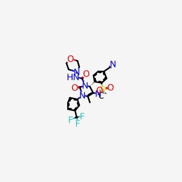 [C-]#[N+]C1=C(C)N(c2cccc(C(F)(F)F)c2)C(=O)N(C(=O)NN2CCOCC2)[C@@H]1c1ccc(C#N)cc1S(C)(=O)=O